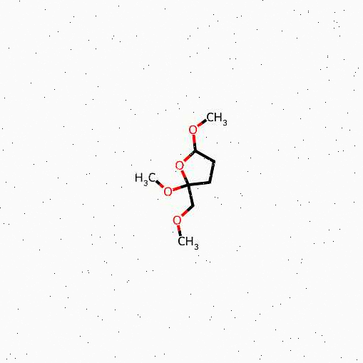 COCC1(OC)CCC(OC)O1